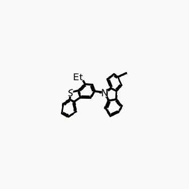 CCc1cc(-n2c3ccccc3c3cc(C)ccc32)cc2c1sc1ccccc12